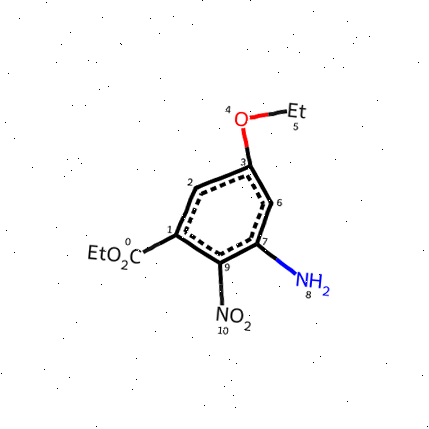 CCOC(=O)c1cc(OCC)cc(N)c1[N+](=O)[O-]